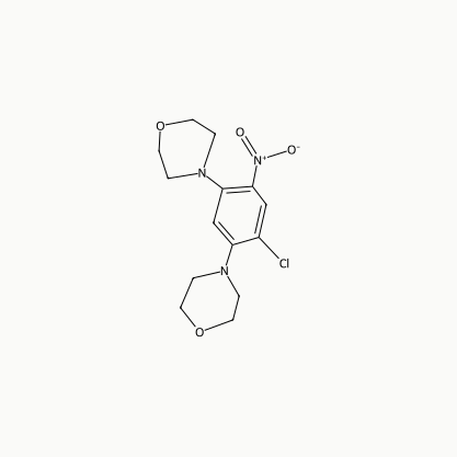 O=[N+]([O-])c1cc(Cl)c(N2CCOCC2)cc1N1CCOCC1